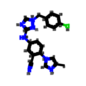 Cc1cn(-c2ccc(Nc3ncn(Cc4ccc(Cl)cc4)n3)cc2C#N)cn1